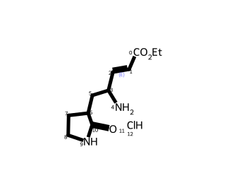 CCOC(=O)/C=C/C(N)CC1CCNC1=O.Cl